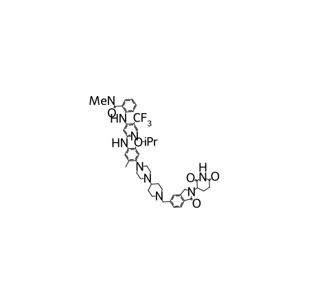 CNC(=O)c1ccccc1Nc1cc(Nc2cc(C)c(N3CCN(C4CCN(Cc5ccc6c(c5)CN(C5CCC(=O)NC5=O)C6=O)CC4)CC3)cc2OC(C)C)ncc1C(F)(F)F